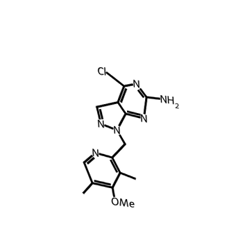 COc1c(C)cnc(Cn2ncc3c(Cl)nc(N)nc32)c1C